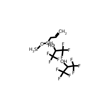 C=CC[SiH2]O[SiH3].OC(C(F)(F)F)C(F)(F)F.OC(C(F)(F)F)C(F)(F)F